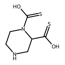 OC(=S)C1CNCCN1C(O)=S